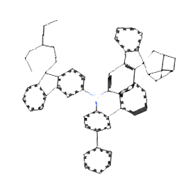 CCC1C[C@@H](C)C[C@]2(c3ccccc3-c3cc(N(C4=CC5=C(CC4)[C@]4(C[C@H]6CC7C[C@@H]4[C@@]76C)c4ccccc45)c4ccc(-c5ccccc5)cc4-c4c#cccc4)ccc32)[C@@H](C)C1